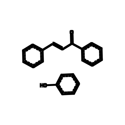 O=C(C=Cc1ccccc1)c1ccccc1.Oc1ccccc1